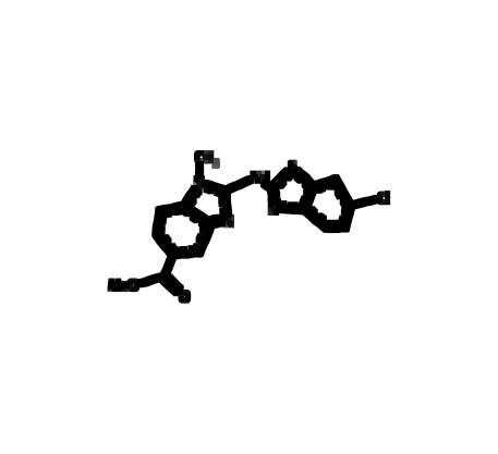 COC(=O)c1ccc2c(c1)nc(Nc1nc3ccc(Cl)cc3s1)n2C